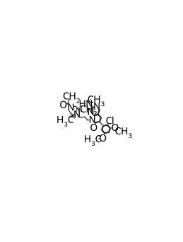 C=CC(=O)N1C[C@@H](C)N(CCCn2c(=O)c(-c3cc(OC)cc(OC)c3Cl)cc3cnc(NC)nc32)[C@@H](C)C1